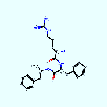 N=C(N)NCCC[C@H](N)C(=O)N[C@H](Cc1ccccc1)C(=O)N[C@@H](Cc1ccccc1)C(=O)O